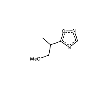 COCC(C)c1ncno1